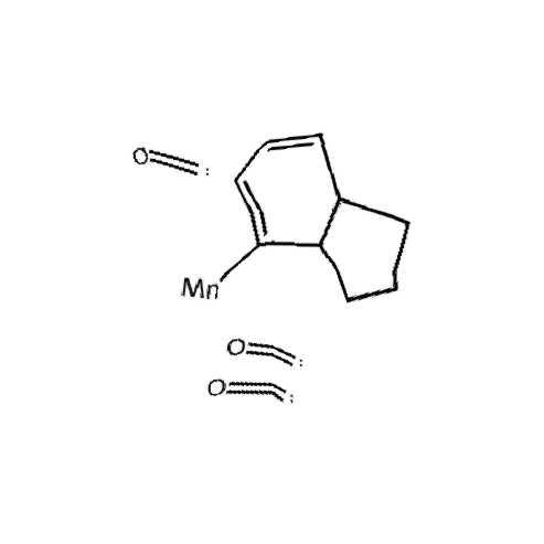 [C]=O.[C]=O.[C]=O.[Mn][C]1=CC=CC2CCCC12